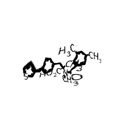 Cc1cc(C)cc(C(=O)N(C)[C@@](C)(Cc2ccc(-c3ccsc3)cc2)C(=O)O)c1